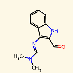 CN(C)C=Nc1c(C=O)[nH]c2ccccc12